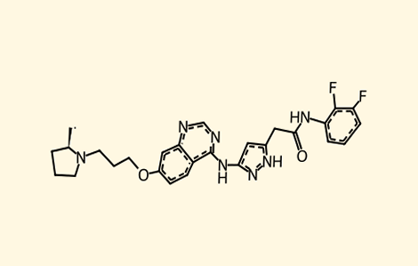 [CH2][C@@H]1CCCN1CCCOc1ccc2c(Nc3cc(CC(=O)Nc4cccc(F)c4F)[nH]n3)ncnc2c1